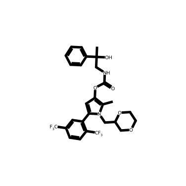 Cc1c(OC(=O)NCC(C)(O)c2ccccc2)cc(-c2cc(C(F)(F)F)ccc2C(F)(F)F)n1CC1COCCO1